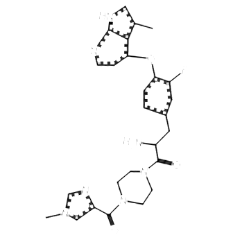 Cc1c[nH]c2nccc(Oc3ccc(CC(N)C(=O)N4CCN(C(=O)c5cn(C)cn5)CC4)cc3F)c12